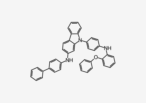 c1ccc(Oc2ccccc2Nc2ccc(-n3c4ccccc4c4ccc(Nc5ccc(-c6ccccc6)cc5)cc43)cc2)cc1